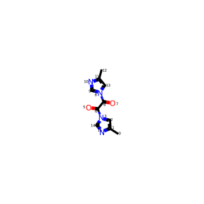 Cc1cn(C(=O)C(=O)n2cnc(C)c2)cn1